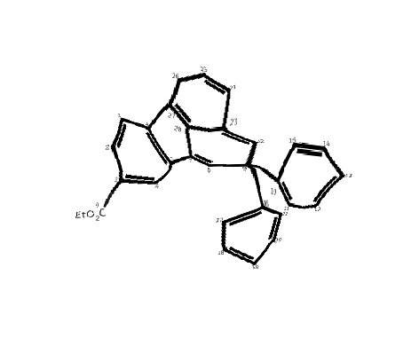 CCOC(=O)c1ccc2c(c1)C1=CC(c3ccccc3)(c3ccccc3)C=C3C=CCC2=C31